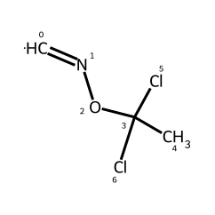 [CH]=NOC(C)(Cl)Cl